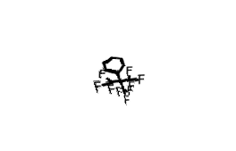 FC(F)(F)C(c1ccccc1)(C(F)(F)F)C(F)(F)F